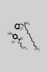 CCCCCCCCCCCC[N+](C)(C)Cc1ccccc1.CCCOC(=O)c1ccc(O)cc1.[Cl-]